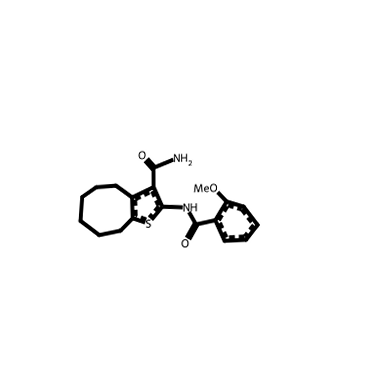 COc1ccccc1C(=O)Nc1sc2c(c1C(N)=O)CCCCCC2